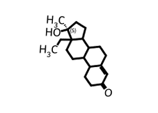 CCC12CCC3C4CCC(=O)C=C4CCC3C1CC[C@]2(C)O